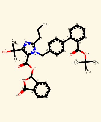 CCCc1nc(C(C)(C)O)c(C(=O)OC2OC(=O)c3ccccc32)n1Cc1ccc(-c2ccccc2C(=O)OC(C)(C)C)cc1